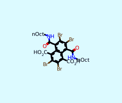 CCCCCCCCNC(=O)c1c(Br)c(Br)c(C(=O)NCCCCCCCC)c2c(C(=O)O)c(Br)c(Br)c(C(=O)O)c12